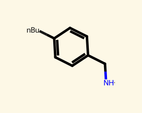 CCCCc1ccc(C[NH])cc1